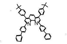 CC(C)(C)c1ccc(-c2cc(-c3ccc(-c4ccccc4)cc3)nc3c2ccc2c(-c4ccc(C(C)(C)C)cc4)cc(-c4ccc(-c5ccccc5)cc4)nc23)cc1